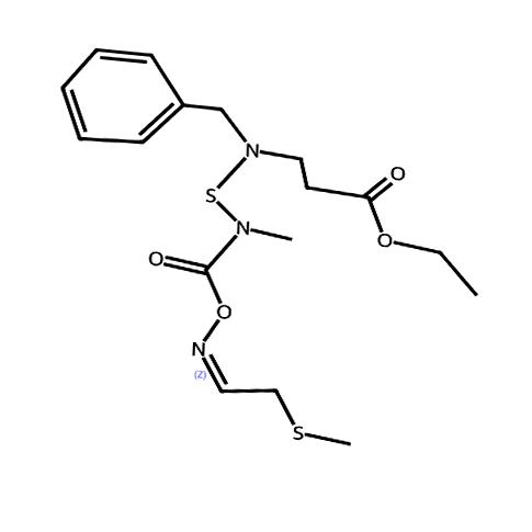 CCOC(=O)CCN(Cc1ccccc1)SN(C)C(=O)O/N=C\CSC